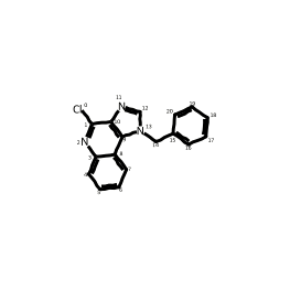 Clc1nc2ccccc2c2c1ncn2Cc1ccccc1